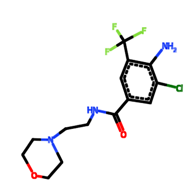 Nc1c(Cl)cc(C(=O)NCCN2CCOCC2)cc1C(F)(F)F